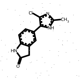 Cc1nc(Cl)c(-c2ccc3c(c2)CC(=O)N3)[nH]1